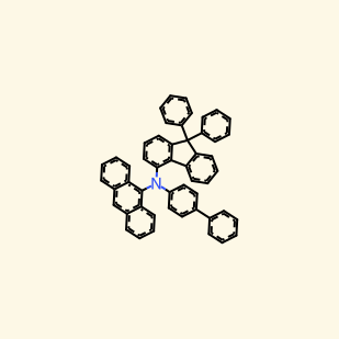 c1ccc(-c2ccc(N(c3cccc4c3-c3ccccc3C4(c3ccccc3)c3ccccc3)c3c4ccccc4cc4ccccc34)cc2)cc1